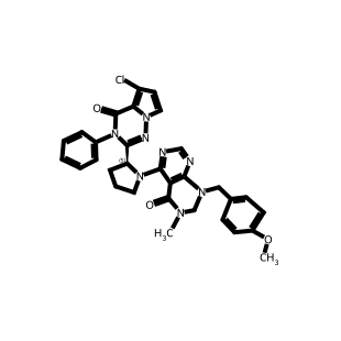 COc1ccc(CN2CN(C)C(=O)c3c2ncnc3N2CCC[C@H]2c2nn3ccc(Cl)c3c(=O)n2-c2ccccc2)cc1